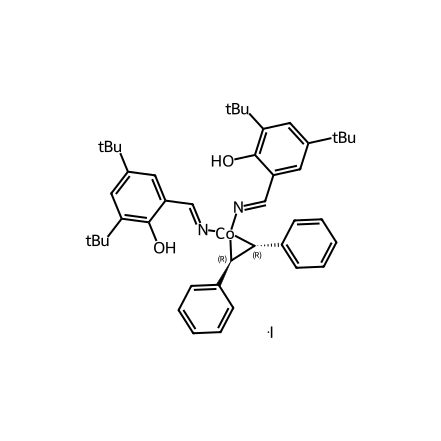 CC(C)(C)c1cc(C=[N][Co]2([N]=Cc3cc(C(C)(C)C)cc(C(C)(C)C)c3O)[C@H](c3ccccc3)[C@H]2c2ccccc2)c(O)c(C(C)(C)C)c1.[I]